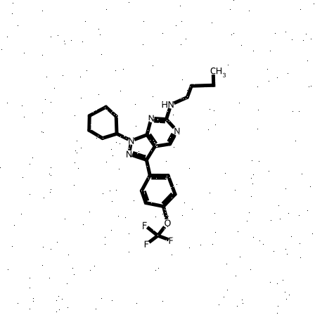 CCCCNc1ncc2c(-c3ccc(OC(F)(F)F)cc3)nn(C3CCCCC3)c2n1